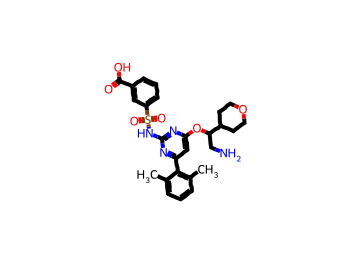 Cc1cccc(C)c1-c1cc(OC(CN)C2CCOCC2)nc(NS(=O)(=O)c2cccc(C(=O)O)c2)n1